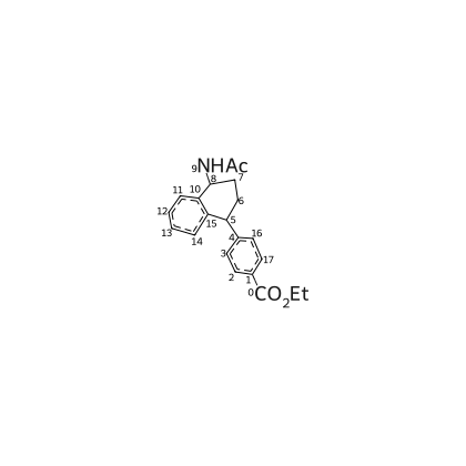 CCOC(=O)c1ccc(C2CCC(NC(C)=O)c3ccccc32)cc1